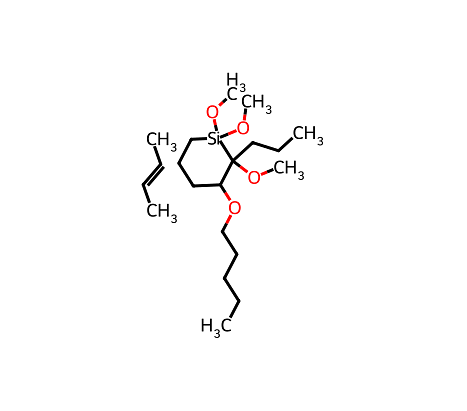 CC=CC.CCCCCOC1CCC[Si](OC)(OC)C1(CCC)OC